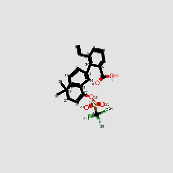 C=Cc1cccc(C(=O)O)c1-c1ccc2c(c1)C(OS(=O)(=O)C(F)(F)F)=CCC2(C)C